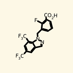 O=C(O)c1cccc(Cn2ncc3cc(C(F)(F)F)cc(C(F)(F)F)c32)c1F